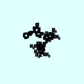 CC(C)(C)OP(=O)(COC[C@H]1O[C@H](Cn2ncc3c(N4CC5(CCCCC5)C4)nc(Cl)nc32)[C@@H]2OC(C)(C)O[C@@H]21)OC(C)(C)C